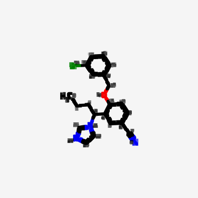 CCCC(c1cc(C#N)ccc1OCc1cccc(Br)c1)n1ccnc1